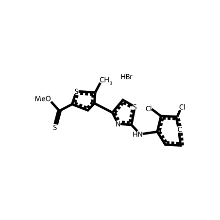 Br.COC(=S)c1cc(-c2csc(Nc3cccc(Cl)c3Cl)n2)c(C)s1